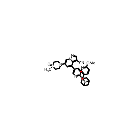 COc1ccc(CN2C3CC2CN(c2ccc(-c4cc(N5CCP(C)(=O)CC5)cn5ncc(C#N)c45)cn2)C3)cn1